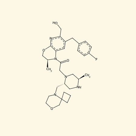 C[C@@H]1CN(CC(=O)N2c3cc(Cc4ccc(F)cc4)c(CO)nc3OC[C@@H]2C)[C@@H](CN2CCOCC23CCC3)CN1